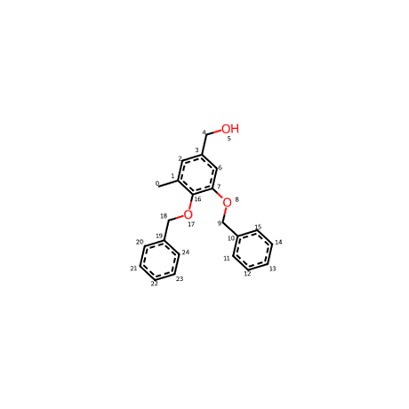 Cc1cc(CO)cc(OCc2ccccc2)c1OCc1ccccc1